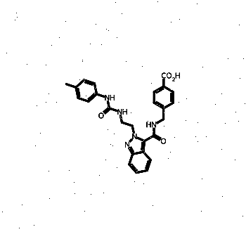 Cc1ccc(NC(=O)NCCn2nc3ccccc3c2C(=O)NCc2ccc(C(=O)O)cc2)cc1